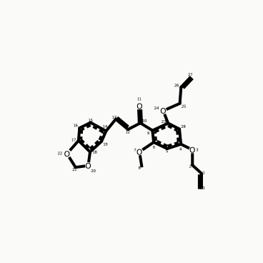 C=CCOc1cc(OC)c(C(=O)C=Cc2ccc3c(c2)OCO3)c(OCC=C)c1